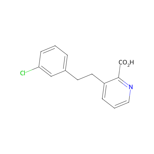 O=C(O)c1ncccc1CCc1cccc(Cl)c1